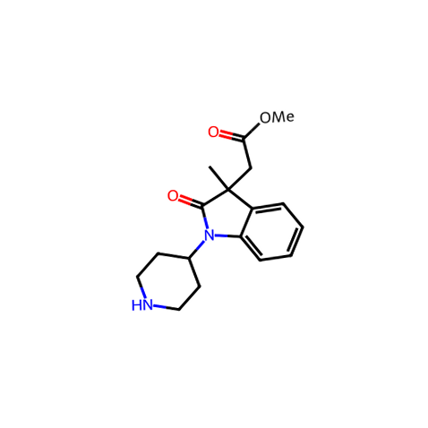 COC(=O)CC1(C)C(=O)N(C2CCNCC2)c2ccccc21